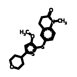 COc1cc(C2CCOCC2)sc1Sc1ccc2c(c1)CCC(=O)N2C